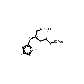 CCOC(=O)CC(CCCOC)Sc1cccs1